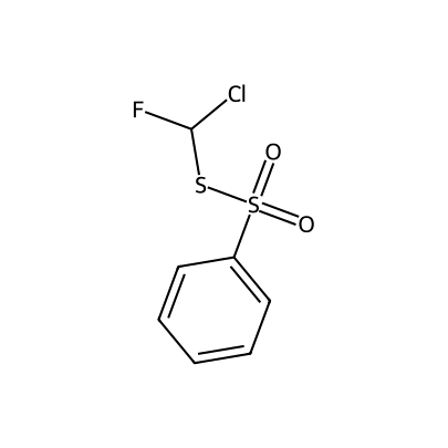 O=S(=O)(SC(F)Cl)c1ccccc1